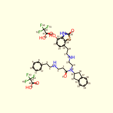 O=C(CCNCCc1ccccc1)N(CCNCCc1ccc(O)c2[nH]c(=O)sc12)C1Cc2ccccc2C1.O=C(O)C(F)(F)F.O=C(O)C(F)(F)F